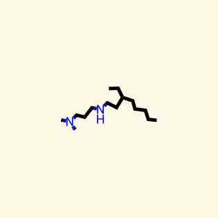 CCCCCC(CC)CCNCCCN(C)C